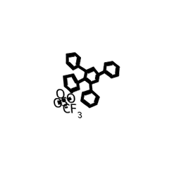 O=S(=O)(Oc1cccc(-c2c(-c3ccccc3)cc(-c3ccccc3)cc2-c2ccccc2)c1)C(F)(F)F